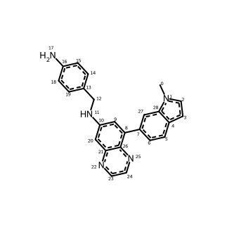 Cn1ccc2ccc(-c3cc(NCc4ccc(N)cc4)cc4nccnc34)cc21